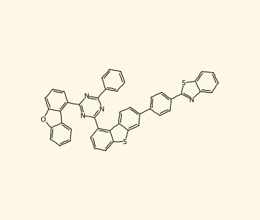 c1ccc(-c2nc(-c3cccc4oc5ccccc5c34)nc(-c3cccc4sc5cc(-c6ccc(-c7nc8ccccc8s7)cc6)ccc5c34)n2)cc1